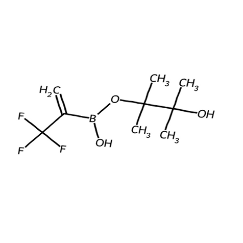 C=C(B(O)OC(C)(C)C(C)(C)O)C(F)(F)F